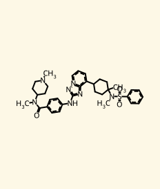 CN1CCC(N(C)C(=O)c2ccc(Nc3nc4c(C5CCC(C)(N(C)S(=O)(=O)c6ccccc6)CC5)cccn4n3)cc2)CC1